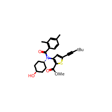 COC(=O)c1sc(C#CC(C)(C)C)cc1N(C(=O)c1ccc(C)cc1C)[C@H]1CC[C@H](O)CC1